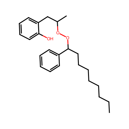 CCCCCCCCC(OOC(C)Cc1ccccc1O)c1ccccc1